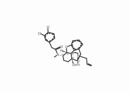 C=CCN1CC[C@]23c4c5cccc4O[C@H]2[C@@H](N(C)C(=O)Cc2ccc(Cl)c(Cl)c2)CC[C@@]3(O)[C@H]1C5